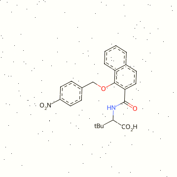 CC(C)(C)C(NC(=O)c1ccc2ccccc2c1OCc1ccc([N+](=O)[O-])cc1)C(=O)O